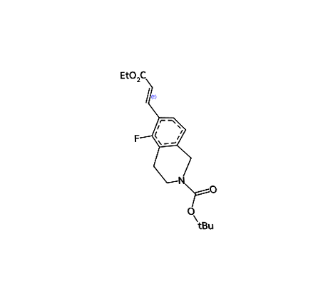 CCOC(=O)/C=C/c1ccc2c(c1F)CCN(C(=O)OC(C)(C)C)C2